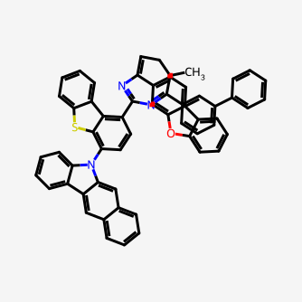 CC1C/C=C(c2ccc3c(c2)oc2ccccc23)/N=C(c2ccc(-n3c4ccccc4c4cc5ccccc5cc43)c3sc4ccccc4c23)\N=C/1c1cccc(-c2ccccc2)c1